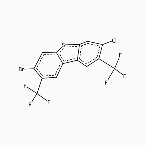 FC(F)(F)c1cc2c(cc1Cl)sc1cc(Br)c(C(F)(F)F)cc12